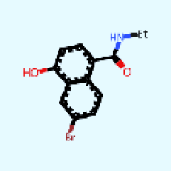 CCNC(=O)c1ccc(O)c2cc(Br)ccc12